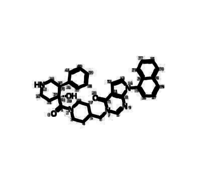 O=C(N1CCC(Cn2cnc3c(ccn3-c3cccc4ccccc34)c2=O)CC1)[C@@]1(O)CCNC[C@H]1c1ccccc1